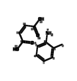 Cc1ccccc1N.O=C(O)/C=C\C(=O)O